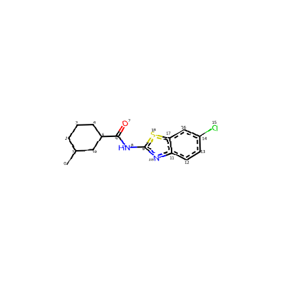 CC1CCCC(C(=O)Nc2nc3ccc(Cl)cc3s2)C1